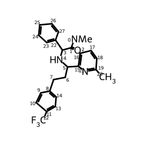 CNC(=O)C(NC(CCc1ccc(C(F)(F)F)cc1)c1cccc(C)n1)c1ccccc1